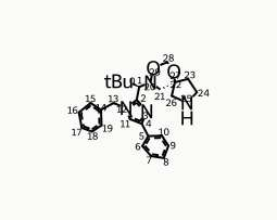 CC(C)(C)[C@H](c1nc(-c2ccccc2)cn1Cc1ccccc1)N1C[C@@]2(CCNC2)OCO1